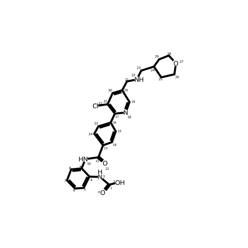 O=C(O)Nc1ccccc1NC(=O)c1ccc(-c2ncc(CNCC3CCOCC3)cc2Cl)cc1